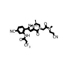 C[C@H]1CN(CC(=O)N(C)CCC#N)C(=O)c2cc(-c3ccc(C#N)cc3NC(=O)CC(F)(F)F)nn21